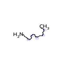 CC/C=C\C/C=C\C/C=C\C/C=C\C/C=C\CCCN